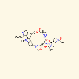 C=CC(=O)N1CC[C@H](C(=O)N(C)C(C(=O)N[C@H]2C[C@H]3CN(CCO3)c3ccc4c(c3)c(c(-c3cccnc3COC)n4CC)CC(C)(C)COC(=O)[C@@H]3CCCN(N3)C2=O)C(C)C)C1